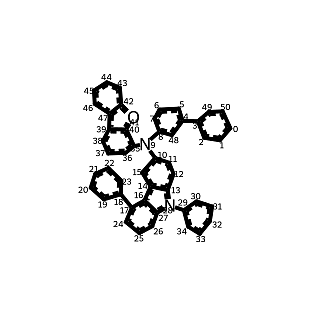 c1ccc(-c2cccc(N(c3ccc4c(c3)c3c(-c5ccccc5)cccc3n4-c3ccccc3)c3cccc4c3oc3ccccc34)c2)cc1